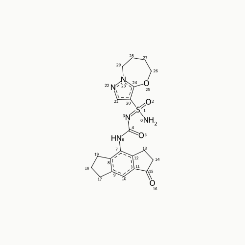 NS(=O)(=NC(=O)Nc1c2c(cc3c1CCC3=O)CCC2)c1cnn2c1OCCCC2